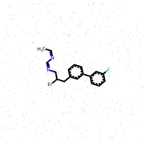 C/C=N\C=N/CC(CC)Cc1cccc(-c2cccc(F)c2)c1